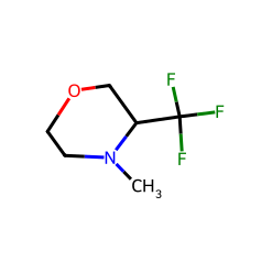 CN1CCOCC1C(F)(F)F